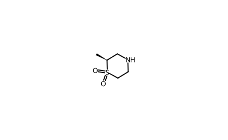 C[C@H]1CNCCS1(=O)=O